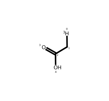 [3H]CC(=O)O